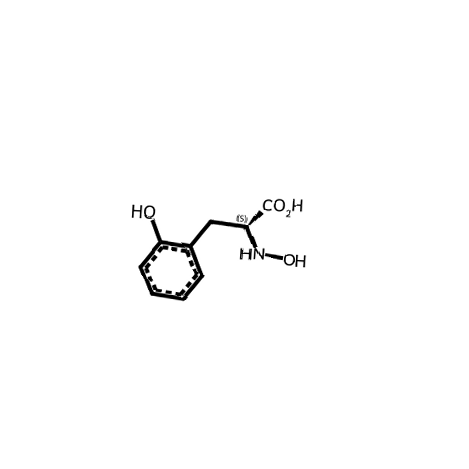 O=C(O)[C@H](Cc1ccccc1O)NO